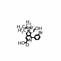 CC(C)(C)[S+]([O-])N1Cc2cc(C(=O)O)nc(-c3cccc(Br)c3)c2[C@H]1CCO